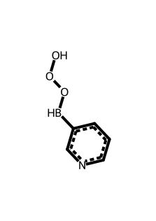 OOOBc1cccnc1